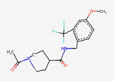 COc1ccc(CNC(=O)C2CCN(C(C)=O)CC2)c(C(F)(F)F)c1